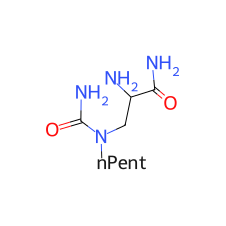 CCCCCN(CC(N)C(N)=O)C(N)=O